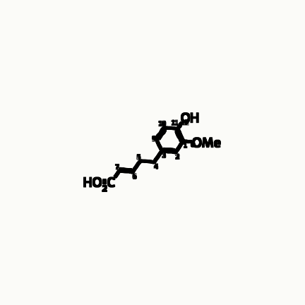 COc1cc(CCC=CC(=O)O)ccc1O